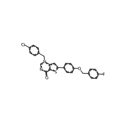 O=c1ncn(Cc2ccc(Cl)cc2)c2cc(-c3ccc(OCc4ccc(F)cc4)cc3)sc12